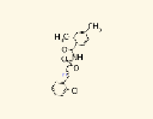 Cc1ccc(C(=O)NS(=O)(=O)/C=C/c2ccccc2Cl)c(C)c1